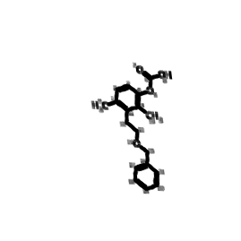 Cc1ccc(OC(=O)O)c(C)c1CCOCc1ccccc1